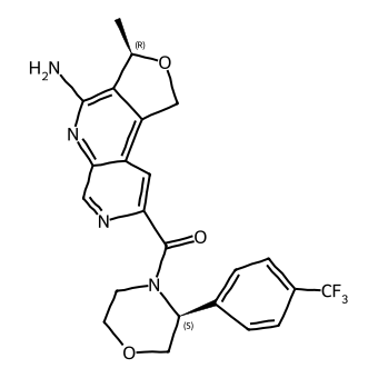 C[C@H]1OCc2c1c(N)nc1cnc(C(=O)N3CCOC[C@@H]3c3ccc(C(F)(F)F)cc3)cc21